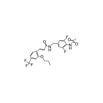 CCCOc1cc(C(F)(F)F)ccc1/C=C/C(=O)NCc1cc(F)c(NS(C)(=O)=O)c(F)c1